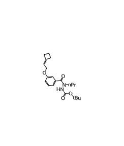 CCCN(NC(=O)OC(C)(C)C)C(=O)c1cccc(OCC=C2CCC2)c1